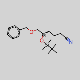 CC(C)(C)[Si](C)(C)O[C@H](CCCC#N)COCc1ccccc1